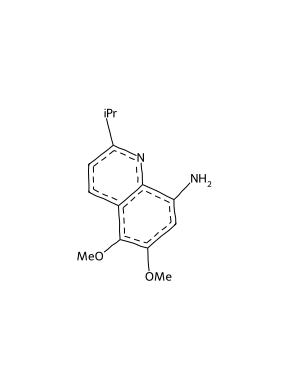 COc1cc(N)c2nc(C(C)C)ccc2c1OC